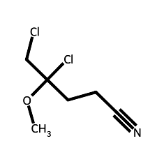 COC(Cl)(CCl)CCC#N